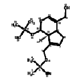 CC(C)(C)[Si](C)(C)OCC1=CCC2C(CO)=COC(O[Si](C)(C)C(C)(C)C)[C@H]12